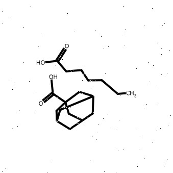 CCCCCCC(=O)O.O=C(O)C12CC3CC(CC(C3)C1)C2